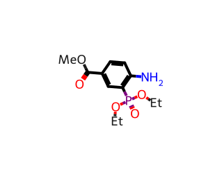 CCOP(=O)(OCC)c1cc(C(=O)OC)ccc1N